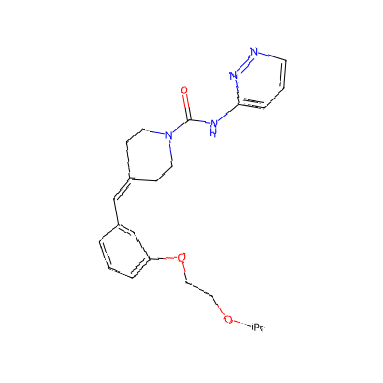 CC(C)OCCOc1cccc(C=C2CCN(C(=O)Nc3cccnn3)CC2)c1